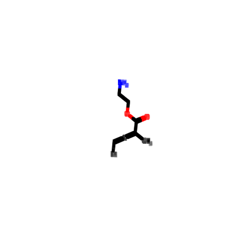 CCC=C=C(C)C(=O)OCCN